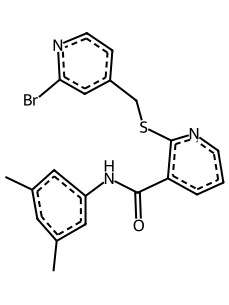 Cc1cc(C)cc(NC(=O)c2cccnc2SCc2ccnc(Br)c2)c1